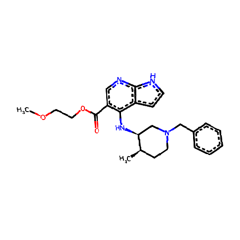 COCCOC(=O)c1cnc2[nH]ccc2c1N[C@H]1CN(Cc2ccccc2)CC[C@H]1C